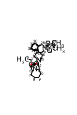 CCOC(=O)N1C2CCCCC1CC(N1CCC3(CC1)CN(S(=O)(=O)N(C)C)Cc1ccccc13)CC2